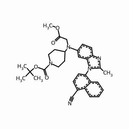 COC(=O)CN(c1ccc2nc(C)n(-c3ccc(C#N)c4ccccc34)c2c1)C1CCN(C(=O)OC(C)(C)C)CC1